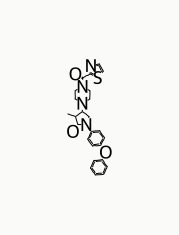 CC1C(=O)N(c2ccc(Oc3ccccc3)cc2)CC1N1CCN(C(=O)c2nccs2)CC1